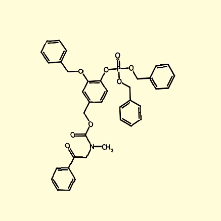 CN(CC(=O)c1ccccc1)C(=O)OCc1ccc(OP(=O)(OCc2ccccc2)OCc2ccccc2)c(OCc2ccccc2)c1